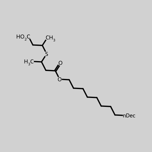 CCCCCCCCCCCCCCCCCCOC(=O)CC(C)SC(C)CC(=O)O